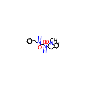 CN1C(=O)C(NC(=O)C(=O)NCCc2ccccc2)CCc2ccccc21